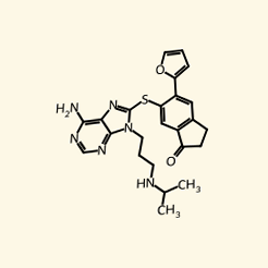 CC(C)NCCCn1c(Sc2cc3c(cc2-c2ccco2)CCC3=O)nc2c(N)ncnc21